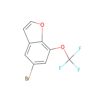 FC(F)(F)Oc1cc(Br)cc2ccoc12